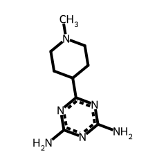 CN1CCC(c2nc(N)nc(N)n2)CC1